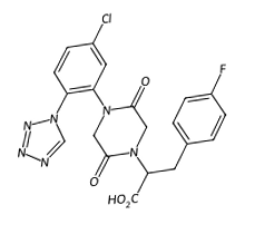 O=C(O)C(Cc1ccc(F)cc1)N1CC(=O)N(c2cc(Cl)ccc2-n2cnnn2)CC1=O